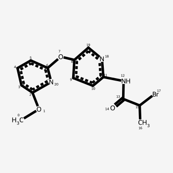 COc1cccc(Oc2ccc(NC(=O)C(C)Br)nc2)n1